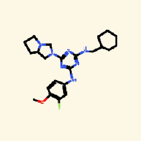 COc1ccc(Nc2nc(NCC3CCCCC3)nc(N3CC4CCCN4C3)n2)cc1F